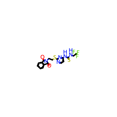 O=C1c2ccccc2C(=O)N1CCSc1nccc(NC(=S)NCC(F)(F)F)n1